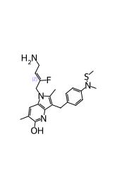 CSN(C)c1ccc(Cc2c(C)n(C/C(F)=C/CN)c3cc(C)c(O)nc23)cc1